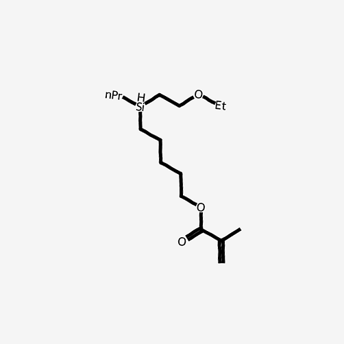 C=C(C)C(=O)OCCCCC[SiH](CCC)CCOCC